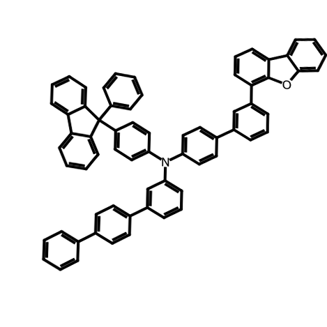 c1ccc(-c2ccc(-c3cccc(N(c4ccc(-c5cccc(-c6cccc7c6oc6ccccc67)c5)cc4)c4ccc(C5(c6ccccc6)c6ccccc6-c6ccccc65)cc4)c3)cc2)cc1